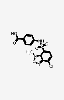 CN1ON=C2C(Cl)=CC=C(S(=O)(=O)Nc3ccc(C(=O)O)cc3)C21